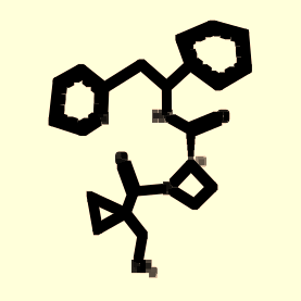 NCC1(C(=O)N2CC[C@H]2C(=O)NC(Cc2ccccn2)c2ccccc2)CC1